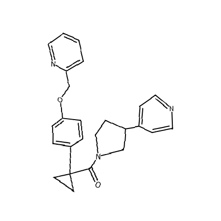 O=C(N1CCC(c2ccncc2)C1)C1(c2ccc(OCc3ccccn3)cc2)CC1